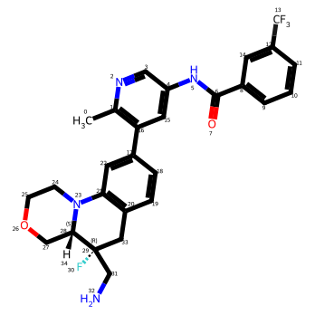 Cc1ncc(NC(=O)c2cccc(C(F)(F)F)c2)cc1-c1ccc2c(c1)N1CCOC[C@H]1[C@](F)(CN)C2